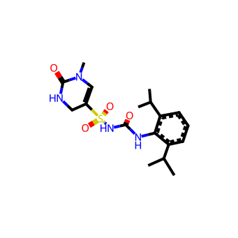 CC(C)c1cccc(C(C)C)c1NC(=O)NS(=O)(=O)C1=CN(C)C(=O)NC1